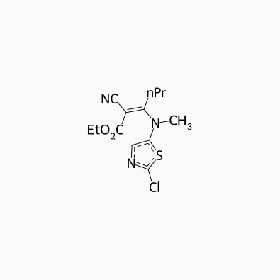 CCCC(=C(C#N)C(=O)OCC)N(C)c1cnc(Cl)s1